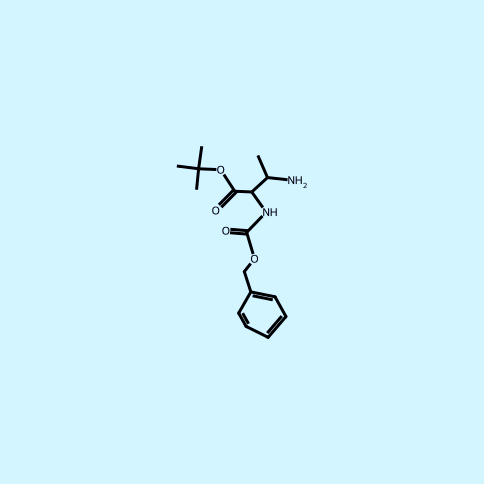 CC(N)C(NC(=O)OCc1ccccc1)C(=O)OC(C)(C)C